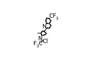 Cc1cc(-c2ccc3cc(C(F)(F)F)ccc3n2)ccc1/N=C(\Cl)C(F)(F)F